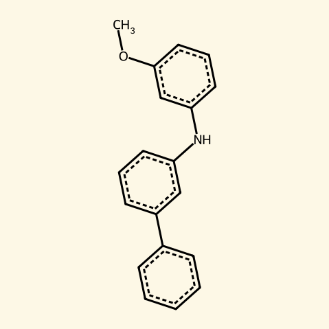 COc1cccc(Nc2cccc(-c3ccccc3)c2)c1